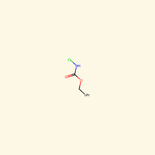 CCCCOC(=O)NCl